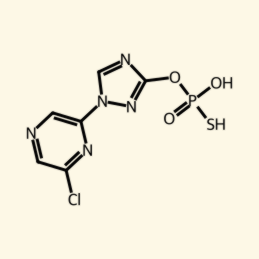 O=P(O)(S)Oc1ncn(-c2cncc(Cl)n2)n1